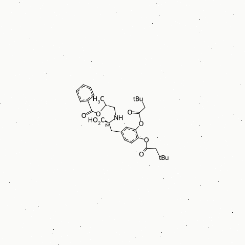 CC(CN[C@@H](Cc1ccc(OC(=O)CC(C)(C)C)c(OC(=O)CC(C)(C)C)c1)C(=O)O)OC(=O)c1ccccc1